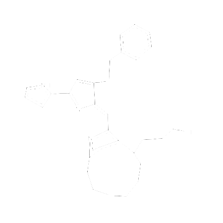 CCCCC1CCCCCCc2cc1c(C=C1N=C(c3ccc[nH]3)C=C1OCc1ccccc1)[nH]2